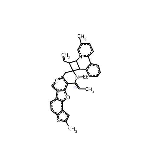 C=CC1C2C(c3ccccc3-c3ccc(C)c[n+]32)C12Cc1ccc3c(oc4c5cc(C)sc5ccc34)c1/C(=C/C)N2CC